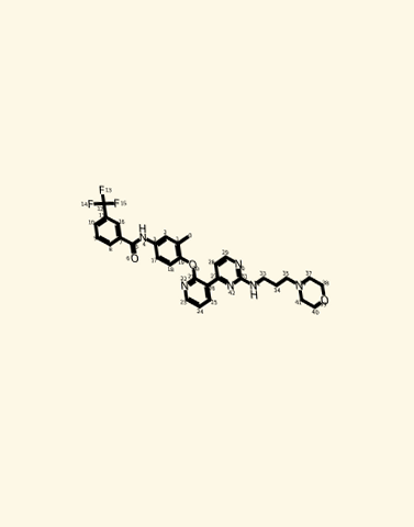 Cc1cc(NC(=O)c2cccc(C(F)(F)F)c2)ccc1Oc1ncccc1-c1ccnc(NCCCN2CCOCC2)n1